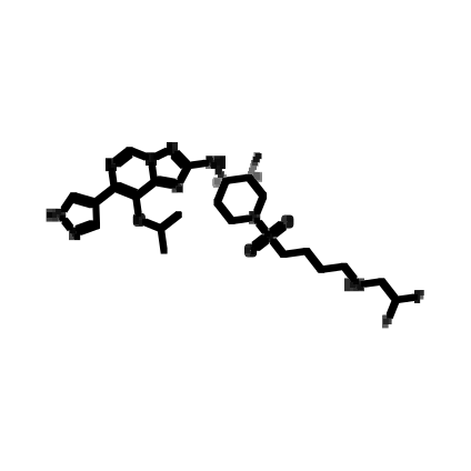 CC(C)Oc1c(-c2cn[nH]c2)ncn2nc(N[C@H]3CCN(S(=O)(=O)CCCCNCC(F)F)C[C@H]3C)nc12